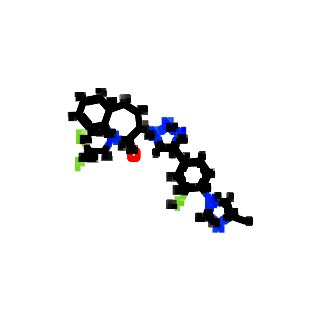 Cc1cn(-c2ccc(-c3cn(C4CCC5C=CC=CC5N(CC(F)F)C4=O)nn3)cc2F)cn1